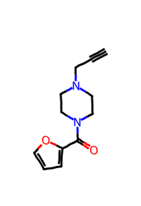 C#CCN1CCN(C(=O)c2ccco2)CC1